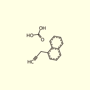 C#CCc1cccc2ccccc12.O=C(O)O